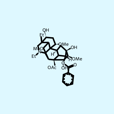 CCN1CC2(CC)C3C(OC)C4C1C3([C@@H](OC)C[C@H]2O)[C@H]1C[C@@]2(O)[C@H](OC(=O)c3ccccc3)C1[C@]4(OC(C)=O)[C@@H](O)[C@@H]2OC